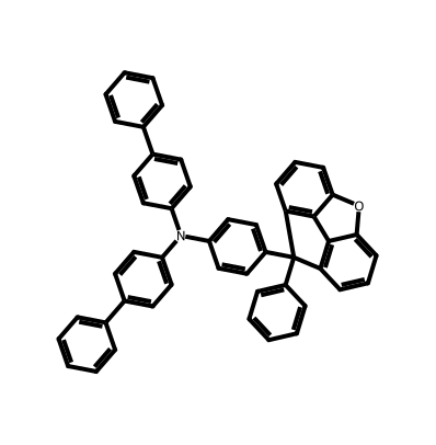 c1ccc(-c2ccc(N(c3ccc(-c4ccccc4)cc3)c3ccc(C4(c5ccccc5)c5cccc6oc7cccc4c7c56)cc3)cc2)cc1